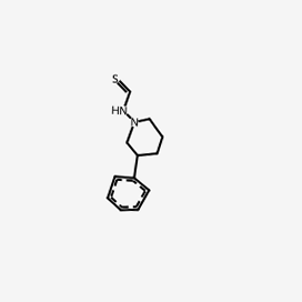 S=CNN1CCCC(c2ccccc2)C1